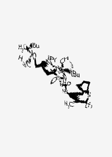 Cc1c(C(F)(F)F)nc2c(c1NC(=O)N=S(=O)(N[Si](C)(C)C(C)(C)C)c1cc(CO[Si](C)(C)C(C)(C)C)n(C(C)C)n1)CCC2